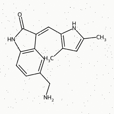 Cc1cc(C)c(C=C2C(=O)Nc3ccc(CN)cc32)[nH]1